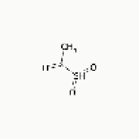 CC(=O)[SH](=O)=O